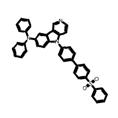 O=S(=O)(c1ccccc1)c1ccc(-c2ccc(-n3c4ccncc4c4cc(N(c5ccccc5)c5ccccc5)ccc43)cc2)cc1